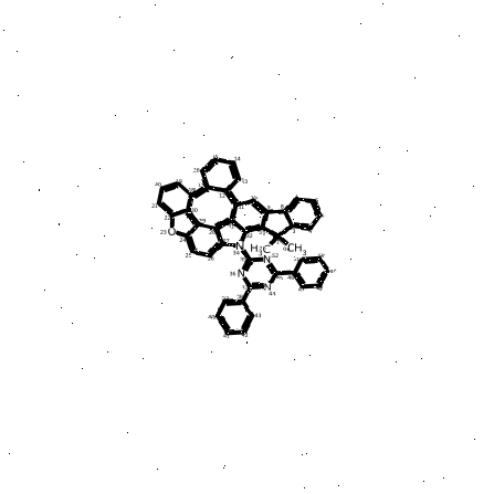 CC1(C)c2ccccc2-c2cc3c4ccccc4c4cccc5oc6ccc7c(c6c54)c3c(c21)n7-c1nc(-c2ccccc2)nc(-c2ccccc2)n1